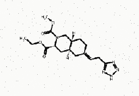 CCOC(=O)[C@@H]1C[C@@H]2C/C(=C/Cc3nn[nH]n3)CC[C@H]2CN1C(=O)OC